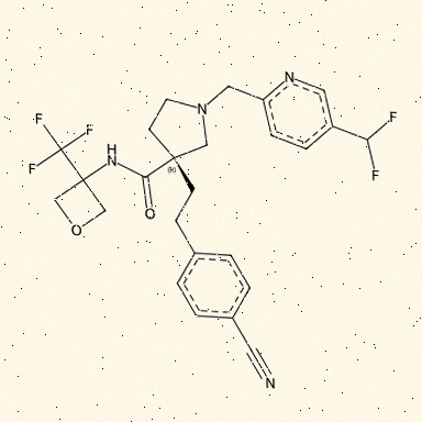 N#Cc1ccc(CC[C@@]2(C(=O)NC3(C(F)(F)F)COC3)CCN(Cc3ccc(C(F)F)cn3)C2)cc1